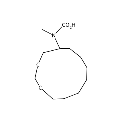 CN(C(=O)O)C1CCCCCCCCCCC1